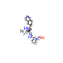 C[C@H](CNCCc1cn(CCO)c2ccccc12)NSc1ccc2cnccc2c1